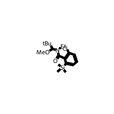 CCN(C(=O)c1c(Cl)cccc1[Si](C)(C)C)C(OC)C(C)(C)C